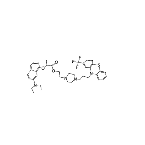 CCN(CC)c1ccc2cccc(OC(C)C(=O)OCCN3CCN(CCCN4c5ccccc5Sc5ccc(C(F)(F)F)cc54)CC3)c2c1